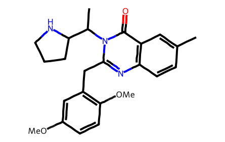 COc1ccc(OC)c(Cc2nc3ccc(C)cc3c(=O)n2C(C)C2CCCN2)c1